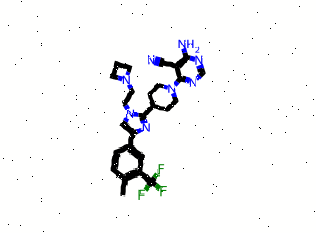 Cc1ccc(-c2cn(CCN3CCC3)c(C3CCN(c4ncnc(N)c4C#N)CC3)n2)cc1C(F)(F)F